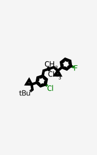 CC(C)(C)CC1(c2cc(Cl)cc(CC(C)(C)CC3(c4cccc(F)c4)CC3)c2)CC1